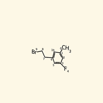 Cc1cc(F)cc(CCBr)c1